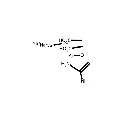 C=C(N)N.CC(=O)O.CC(=O)O.CC(=O)[O-].CC(=O)[O-].[Na+].[Na+]